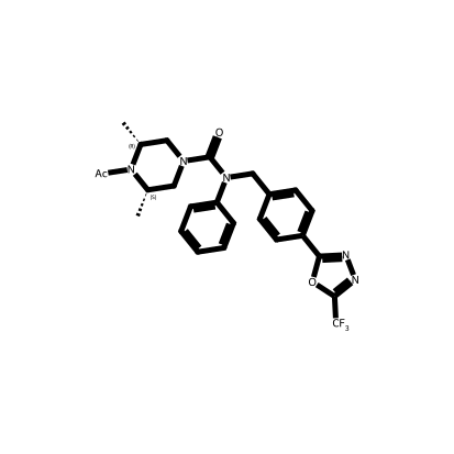 CC(=O)N1[C@H](C)CN(C(=O)N(Cc2ccc(-c3nnc(C(F)(F)F)o3)cc2)c2ccccc2)C[C@@H]1C